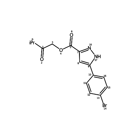 CC(C)C(=O)COC(=O)c1cc(-c2ccc(Br)cc2)[nH]n1